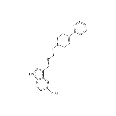 CCCCc1ccc2[nH]cc(CSCCN3CC=C(c4ccccc4)CC3)c2c1